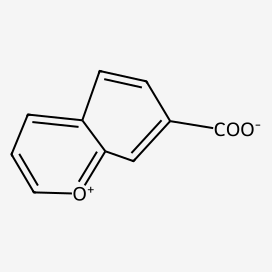 O=C([O-])c1ccc2ccc[o+]c2c1